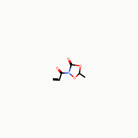 C=CC(=O)N1OC(C)OC1=O